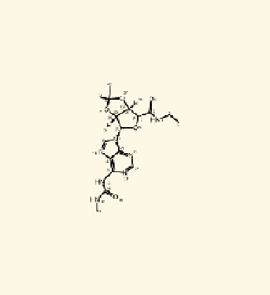 CCNC(=O)[C@H]1O[C@@H](n2cnc3c(NC(=O)NC)ncnc32)[C@@H]2OC(C)(C)O[C@@H]21